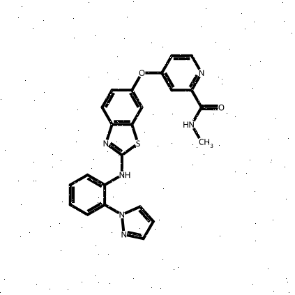 CNC(=O)c1cc(Oc2ccc3nc(Nc4ccccc4-n4cccn4)sc3c2)ccn1